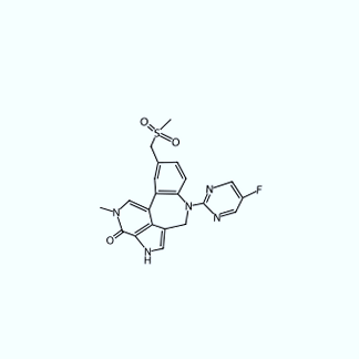 Cn1cc2c3c(c[nH]c3c1=O)CN(c1ncc(F)cn1)c1ccc(CS(C)(=O)=O)cc1-2